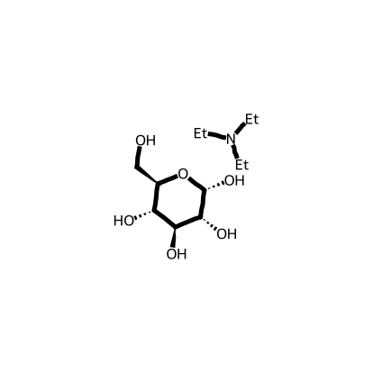 CCN(CC)CC.OC[C@H]1O[C@H](O)[C@H](O)[C@@H](O)[C@@H]1O